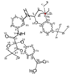 CCCC(Nc1cccc(NC(=O)C(Cl)(Oc2ccc(C(=O)O)cc2)C(=O)C(C)(C)C)c1)Oc1ccc(C(C)(C)CC)cc1C(C)(C)CC